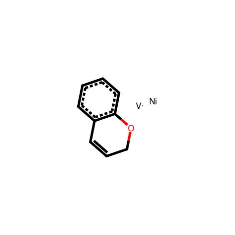 C1=Cc2ccccc2OC1.[Ni].[V]